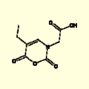 CCc1cn(CC(=O)O)c(=O)oc1=O